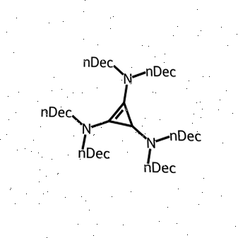 CCCCCCCCCCN(CCCCCCCCCC)C1=C(N(CCCCCCCCCC)CCCCCCCCCC)C1N(CCCCCCCCCC)CCCCCCCCCC